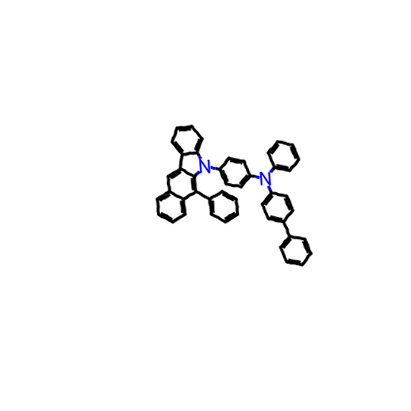 c1ccc(-c2ccc(N(c3ccccc3)c3ccc(-n4c5ccccc5c5cc6ccccc6c(-c6ccccc6)c54)cc3)cc2)cc1